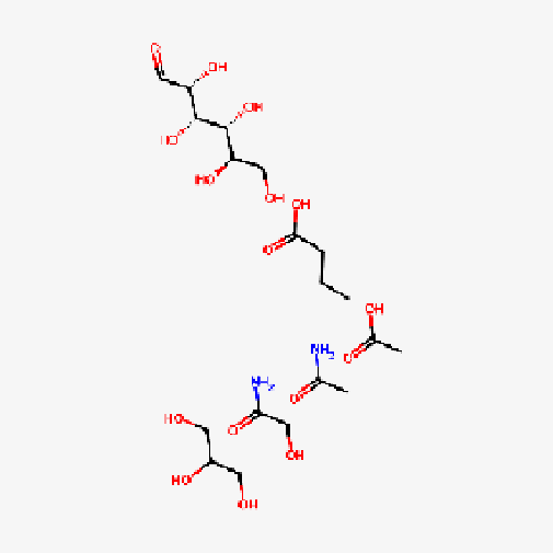 CC(=O)O.CC(N)=O.CCCC(=O)O.NC(=O)CO.O=C[C@H](O)[C@@H](O)[C@H](O)[C@H](O)CO.OCC(O)CO